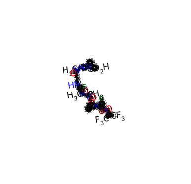 CN(CCN1CCC(N(C(=O)O)c2ccccc2-c2ccccc2)CC1)C(=O)CCCCCNc1ccc(C(=O)N(C)CCCN(C)C(=O)CO[C@H]2Cc3ccccc3C23CCN(CC[C@@]2(c4ccc(F)cc4)CN(C(=O)c4cc(C(F)(F)F)cc(C(F)(F)F)c4)CO2)CC3)c(F)c1